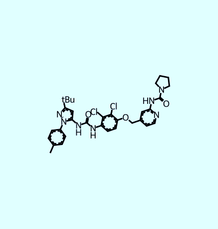 Cc1ccc(-n2nc(C(C)(C)C)cc2NC(=O)Nc2ccc(OCc3ccnc(NC(=O)N4CCCC4)c3)c(Cl)c2Cl)cc1